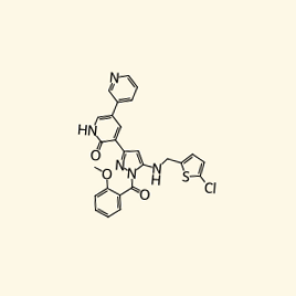 COc1ccccc1C(=O)n1nc(-c2cc(-c3cccnc3)c[nH]c2=O)cc1NCc1ccc(Cl)s1